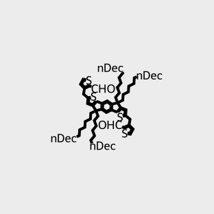 CCCCCCCCCCCCCCCCC1(CCCCCCCCCCCCCCCC)c2cc3c(cc2-c2sc(Cc4ccsc4C=O)cc21)C(CCCCCCCCCCCCCCCC)(CCCCCCCCCCCCCCCC)c1cc(Cc2ccsc2C=O)sc1-3